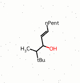 CCCCCC=CC(O)C(C)C(C)(C)C